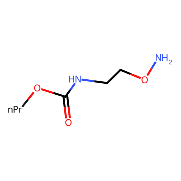 CCCOC(=O)NCCON